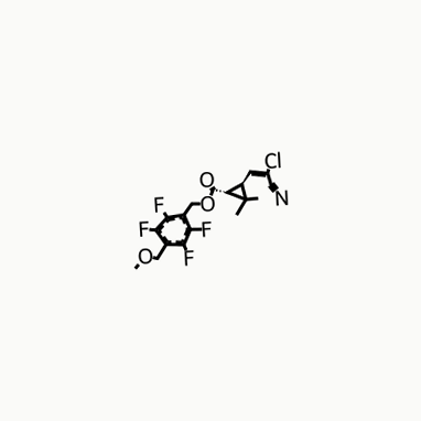 COCc1c(F)c(F)c(COC(=O)[C@@H]2[C@@H](/C=C(/Cl)C#N)C2(C)C)c(F)c1F